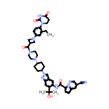 CCc1cc(N2CC(C(=O)N3CCN([C@H]4CC[C@H](n5cc6cc(NC(=O)c7ccc8cc(C#N)cnn78)c(C(C)(C)O)cc6n5)CC4)CC3)C2)ccc1N1CCC(=O)NC1=O